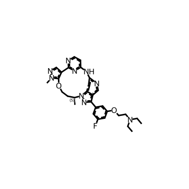 CCN(CC)CCOc1cc(F)cc(-c2nn3c4cc(ncc24)Nc2ccnc(n2)-c2cnn(C)c2OCC[C@@H]3C)c1